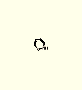 [C]1=CNSC=C1